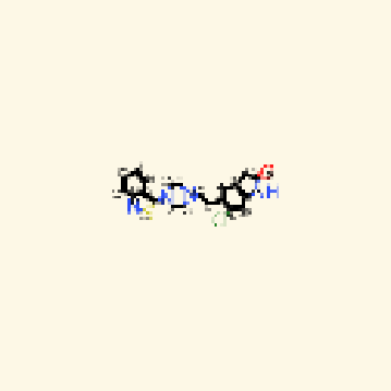 O=C1Cc2cc(CCN3CCN(c4snc5ccccc45)CC3)c(Cl)cc2N1